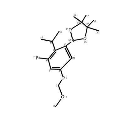 COCOc1cc(F)c(C(C)C)c(B2OC(C)(C)C(C)(C)O2)c1